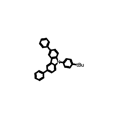 CC(C)(C)c1ccc(-n2c3ccc(-c4ccccc4)cc3c3cc(-c4ccccc4)ccc32)cc1